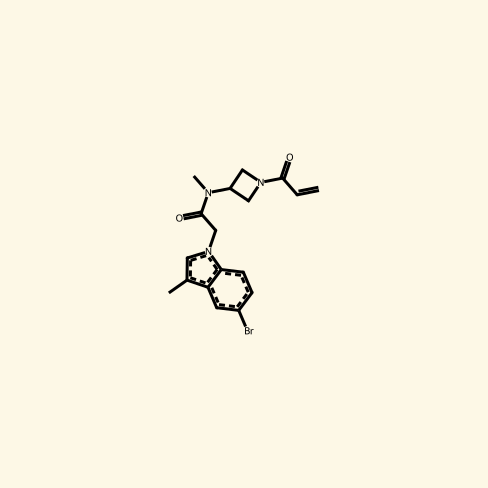 C=CC(=O)N1CC(N(C)C(=O)Cn2cc(C)c3cc(Br)ccc32)C1